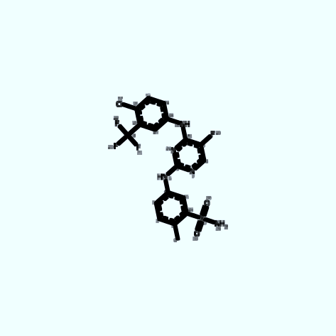 Cc1ccc(Nc2ncc(F)c(Nc3ccc(Cl)c(C(F)(F)F)c3)n2)cc1S(N)(=O)=O